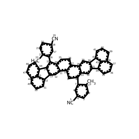 Cc1ccc(C#N)cc1-c1cc2c3cc4c(c(-c5cc(C#N)ccc5C)c3ccc2c2cc3c(cc12)-c1cccc2cccc-3c12)-c1cccc2cccc-4c12